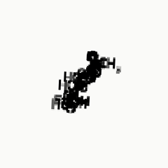 CCC(Cl)(P(O)OC[C@H]1O[C@@H](n2ccc(=O)n(Cc3nn(C)c4ccccc34)c2=O)C(O)C1O)P(=O)(O)O